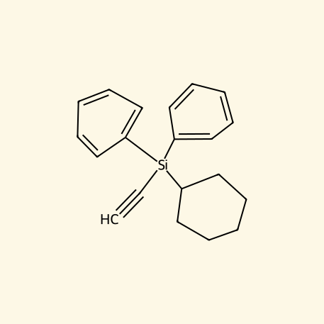 C#C[Si](c1ccccc1)(c1ccccc1)C1CCCCC1